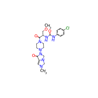 COCC(NC(=O)Nc1ccc(Cl)cc1)C(=O)N1CCN(N2CN3CN(C)C=C3C2=O)CC1